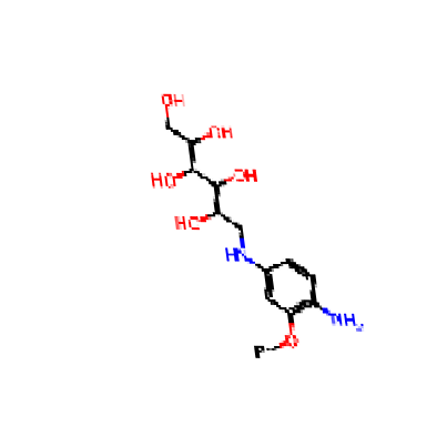 CC(C)Oc1cc(NCC(O)C(O)C(O)C(O)CO)ccc1N